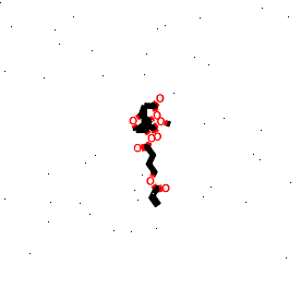 C=CC(=O)OCCCC(=O)OC1C2OC(=O)C3C2OC1C3C(=O)OC